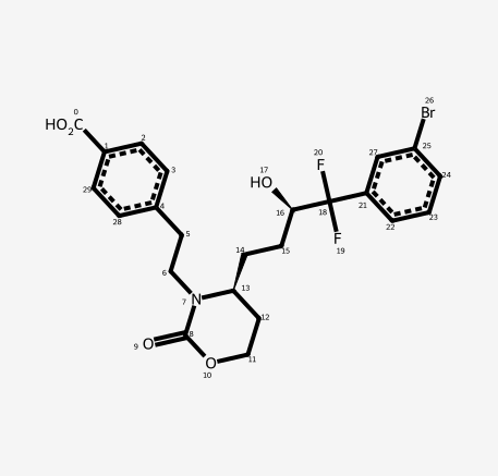 O=C(O)c1ccc(CCN2C(=O)OCC[C@@H]2CC[C@@H](O)C(F)(F)c2cccc(Br)c2)cc1